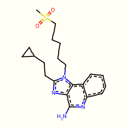 CS(=O)(=O)CCCCCn1c(CCC2CC2)nc2c(N)nc3ccccc3c21